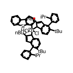 CCCCC1=Cc2c(ccc(C(C)(C)C)c2-c2ccccc2C(C)C)[CH]1[Zr]([Cl])([Cl])([c]1cccc2c1[SiH2]c1ccccc1-2)[CH]1C(CCCC)=Cc2c1ccc(C(C)(C)C)c2-c1ccccc1C(C)C